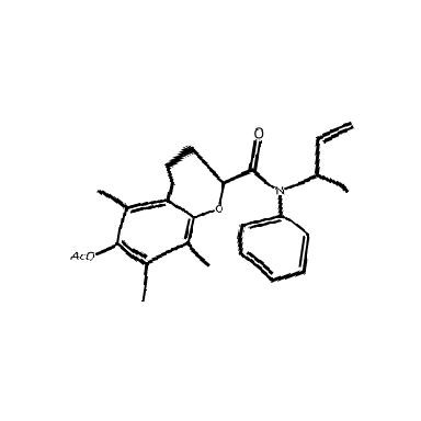 C=CC(C)N(C(=O)C1CCc2c(C)c(OC(C)=O)c(C)c(C)c2O1)c1ccccc1